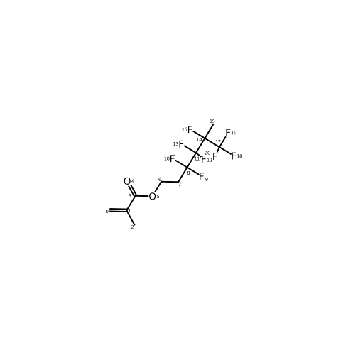 C=C(C)C(=O)OCCC(F)(F)C(F)(F)C(C)(F)C(F)(F)F